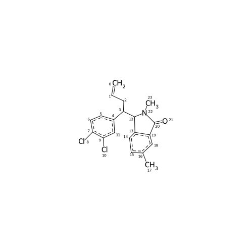 C=CCC(c1ccc(Cl)c(Cl)c1)C1c2ccc(C)cc2C(=O)N1C